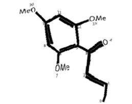 C/C=C/C(=O)c1c(OC)cc(OC)cc1OC